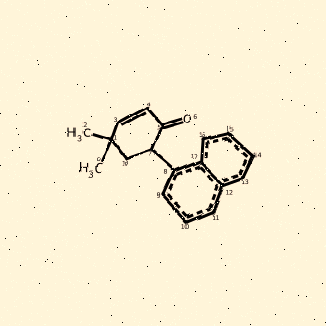 CC1(C)C=CC(=O)C(c2cccc3ccccc23)C1